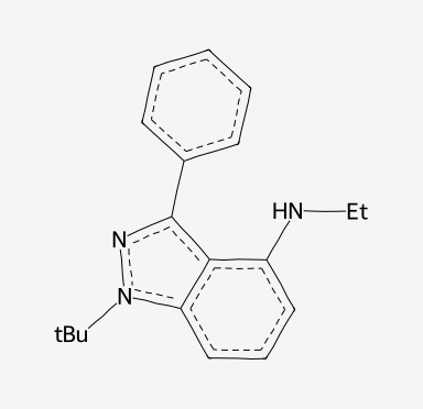 CCNc1cccc2c1c(-c1ccccc1)nn2C(C)(C)C